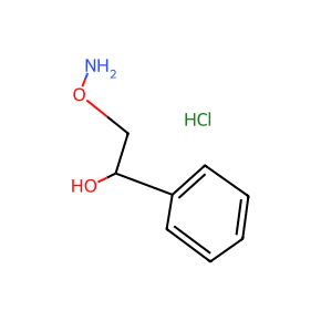 Cl.NOCC(O)c1ccccc1